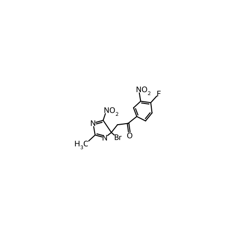 CC1=NC(Br)(CC(=O)c2ccc(F)c([N+](=O)[O-])c2)C([N+](=O)[O-])=N1